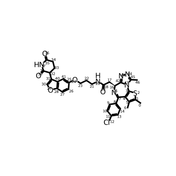 Cc1sc2c(c1C)C(c1ccc(Cl)cc1)=N[C@@H](CC(=O)NCCCOc1ccc3occ(C4CCC(=O)NC4=O)c3c1)c1nnc(C)n1-2